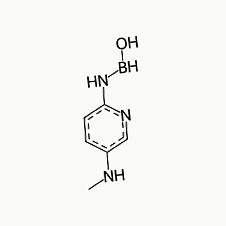 CNc1ccc(NBO)nc1